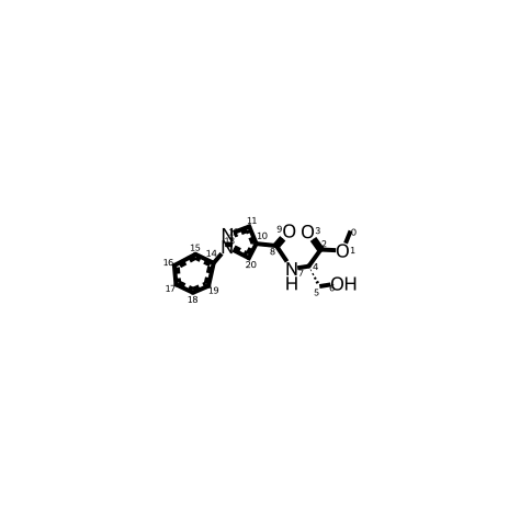 COC(=O)[C@H](CO)NC(=O)c1cnn(-c2ccccc2)c1